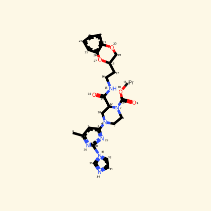 Cc1cc(N2CCN(C(=O)OC(C)C)C(C(=O)NCCC3COc4ccccc4O3)C2)nc(-n2ccnc2)n1